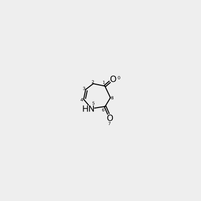 O=C1CC=CNC(=O)C1